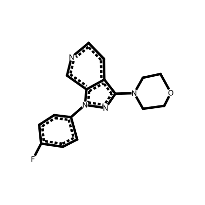 Fc1ccc(-n2nc(N3CCOCC3)c3ccncc32)cc1